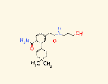 CC1(C)CC=C(c2cc(CC(=O)NCCCO)ccc2C(N)=O)CC1